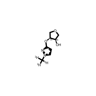 [2H]C([2H])([2H])n1ccc(O[C@H]2COC[C@H]2O)n1